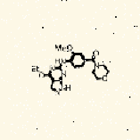 CCOc1nc(Nc2ccc(C(=O)N3CCOCC3)cc2OC)nc2[nH]ncc12